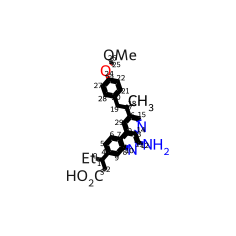 CCC(CC(=O)O)c1ccc2c(c1)nc(N)c1ncc(C(C)Cc3ccc(OCOC)cc3)cc12